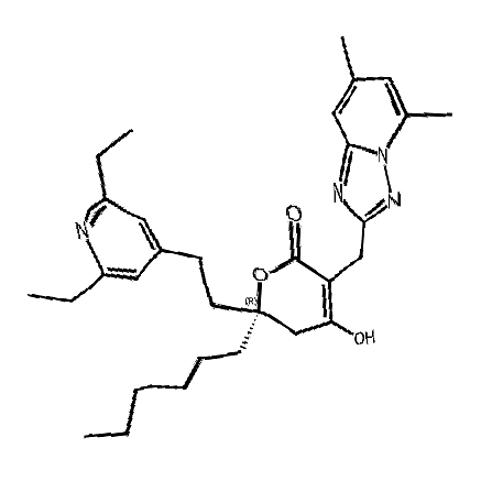 CCCCCC[C@@]1(CCc2cc(CC)nc(CC)c2)CC(O)=C(Cc2nc3cc(C)cc(C)n3n2)C(=O)O1